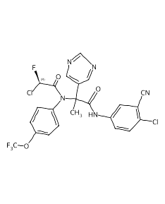 CC(C(=O)Nc1ccc(Cl)c(C#N)c1)(c1cncnc1)N(C(=O)[C@H](F)Cl)c1ccc(OC(F)(F)F)cc1